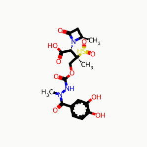 C[C@@H]1CC(=O)N1[C@@H](C(=O)O)[C@](C)(COC(=O)NN(C)C(=O)c1ccc(O)c(O)c1)[SH](=O)=O